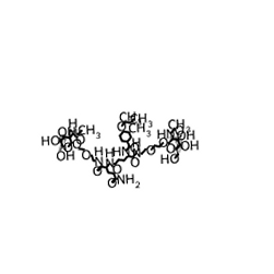 CC(=O)NC1C(OCCOCCNC(=O)C(CCC(N)=O)NC(=O)CCC(NC(=O)C2CCC(OC(C)C(C)C)CC2)C(=O)NCCOCCOC2O[C@H](CO)[C@H](O)[C@H](O)[C@H]2NC(C)=O)O[C@H](CO)[C@H](O)[C@@H]1O